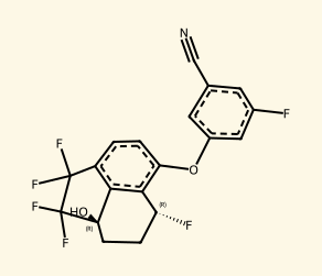 N#Cc1cc(F)cc(Oc2ccc3c4c2[C@H](F)CC[C@]4(O)C(F)(F)C3(F)F)c1